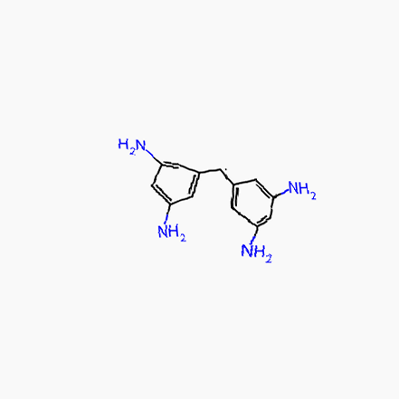 Nc1cc(N)cc([CH]c2cc(N)cc(N)c2)c1